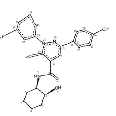 O=C(N[C@@H]1CCCC[C@@H]1O)c1cc(-c2ccc(Cl)cc2)nn(-c2cccc(F)c2)c1=O